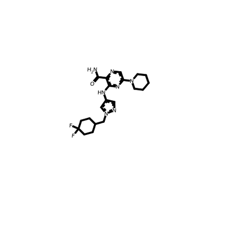 NC(=O)c1ncc(N2CCCCC2)nc1Nc1cnn(CC2CCC(F)(F)CC2)c1